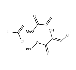 C=C(Cl)Cl.C=CC(=O)OC.CCCOC(=O)C(O)=CCl